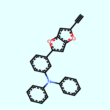 C#Cc1cc2oc(-c3cccc(N(c4ccccc4)c4ccccc4)c3)cc2o1